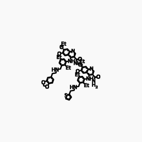 CCOc1cc2ncc(C(N)=O)c(Nc3cccc(CNCCc4ccc5c(c4)OCO5)c3CC)c2cc1OCC.CCOc1cc2ncc(C(N)=O)c(Nc3cccc(CNCCc4cccs4)c3CC)c2cc1OCC